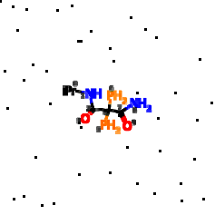 CC(C)NC(=O)C(P)(P)C(N)=O